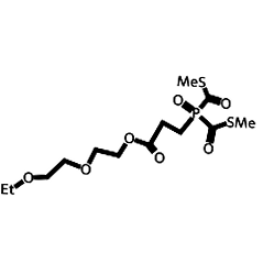 CCOCCOCCOC(=O)CCP(=O)(C(=O)SC)C(=O)SC